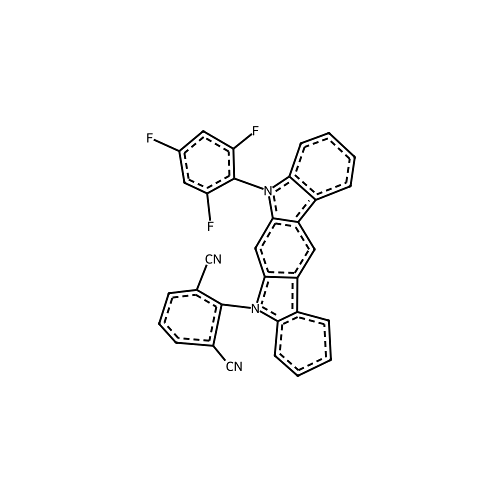 N#Cc1cccc(C#N)c1-n1c2ccccc2c2cc3c4ccccc4n(-c4c(F)cc(F)cc4F)c3cc21